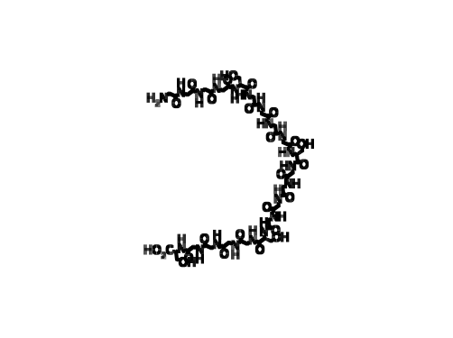 NCC(=O)NCC(=O)NCC(=O)NCC(=O)N[C@@H](CO)C(=O)NCC(=O)NCC(=O)NCC(=O)NCC(=O)N[C@@H](CO)C(=O)NCC(=O)NCC(=O)NCC(=O)NCC(=O)N[C@@H](CO)C(=O)NCC(=O)NCC(=O)NCC(=O)NCC(=O)N[C@@H](CO)C(=O)O